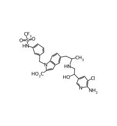 CC(Cc1ccc2c(c1)cc(C(=O)O)n2Cc1cccc(NS(=O)(=O)C(F)(F)F)c1)NCC(O)c1cnc(N)c(Cl)c1